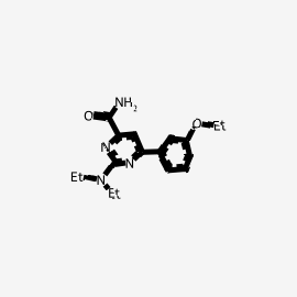 CCOc1cccc(-c2cc(C(N)=O)nc(N(CC)CC)n2)c1